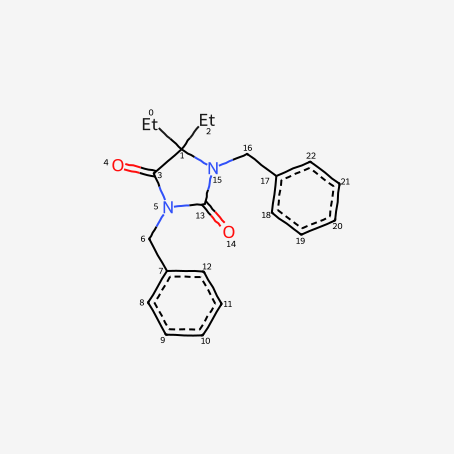 CCC1(CC)C(=O)N(Cc2ccccc2)C(=O)N1Cc1ccccc1